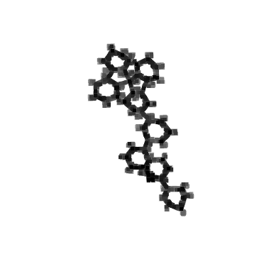 c1ccc(-c2ccc3c(-c4cccc(-c5ccc6c(c5)-c5ccccc5C65c6ccccc6-c6ccccc65)c4)cccc3n2)cc1